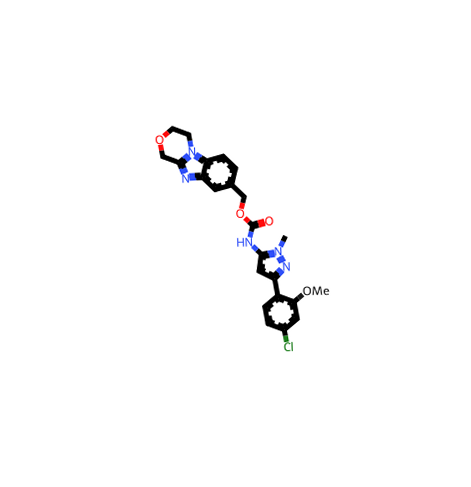 COc1cc(Cl)ccc1-c1cc(NC(=O)OCc2ccc3c(c2)nc2n3CCOC2)n(C)n1